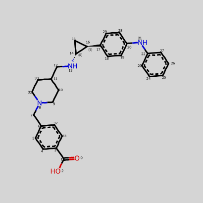 O=C(O)c1ccc(CN2CCC(CN[C@@H]3C[C@H]3c3ccc(Nc4ccccc4)cc3)CC2)cc1